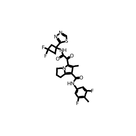 Cc1c(F)cc(NC(=O)c2c(C)c(C(=O)C(=O)NC3(c4nncs4)CC(F)(F)C3)n3c2CCC3)cc1F